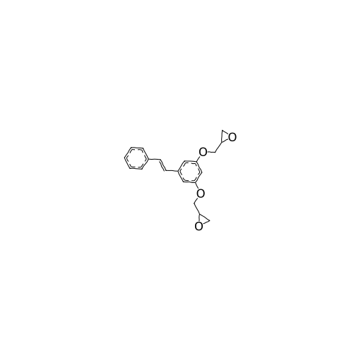 C(=Cc1cc(OCC2CO2)cc(OCC2CO2)c1)c1ccccc1